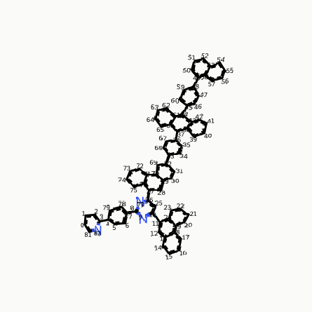 c1ccc(-c2ccc(-c3nc(-c4cc5ccccc5c5ccccc45)cc(-c4cc5ccc(-c6ccc(-c7c8ccccc8c(-c8ccc(-c9cccc%10ccccc9%10)cc8)c8ccccc78)cc6)cc5c5ccccc45)n3)cc2)nc1